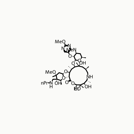 CCCNC[C@]1(O)[C@H](C)O[C@@H](O[C@H]2[C@H](C)[C@@H](O[C@@H]3O[C@H](C)C[C@H](NC)[C@H]3Oc3cnc(OC)nc3)[C@](C)(O)C[C@@H](C)CN[C@H](C)[C@@H](O)[C@](C)(O)[C@@H](CC)OC(=O)[C@@H]2C)C[C@@]1(C)OC